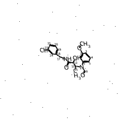 COc1cccc(N(C=O)C(C)C(O)C(=O)NCc2cccc(Cl)c2)c1